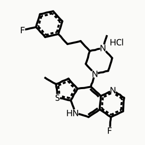 Cc1cc2c(s1)NC=c1c(F)ccnc1=C2N1CCN(C)C(CCc2cccc(F)c2)C1.Cl